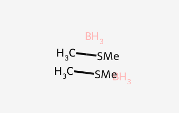 B.B.CSC.CSC